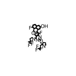 C#Cc1c(F)ccc2cc(O)cc(-c3ncc4c(N5CCC6(C5)CC6(F)F)nc(OC[C@@]56CCCN5C[C@@]5(CC5(F)F)C6)nc4c3F)c12